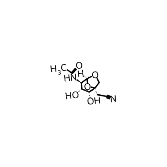 CC(=O)N[C@H]1[C@H]2OC[C@](CC#N)(O2)[C@H](O)[C@@H]1O